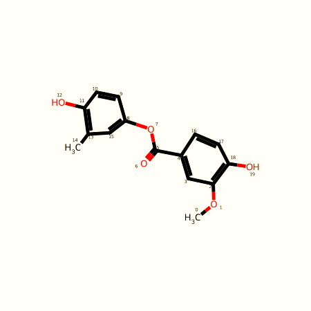 COc1cc(C(=O)Oc2ccc(O)c(C)c2)ccc1O